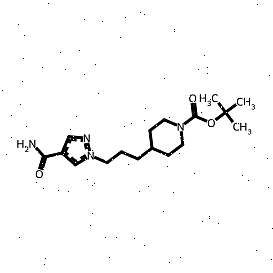 CC(C)(C)OC(=O)N1CCC(CCCn2cc(C(N)=O)cn2)CC1